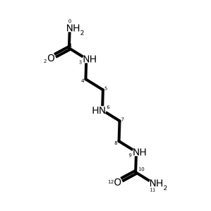 NC(=O)NCCNCCNC(N)=O